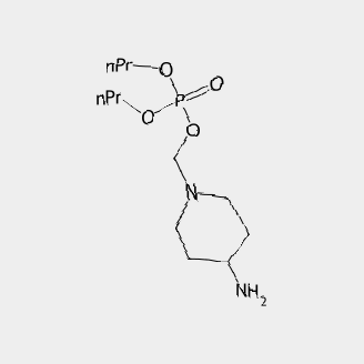 CCCOP(=O)(OCCC)OCN1CCC(N)CC1